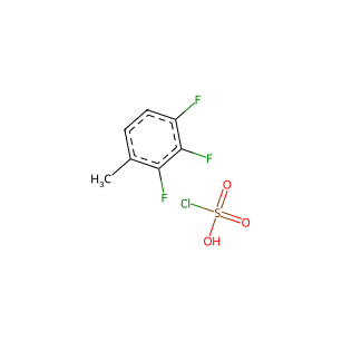 Cc1ccc(F)c(F)c1F.O=S(=O)(O)Cl